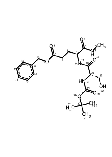 CNC(=O)[C@H](CCC(=O)OCc1ccccc1)NC(=O)[C@H](CO)NC(=O)OC(C)(C)C